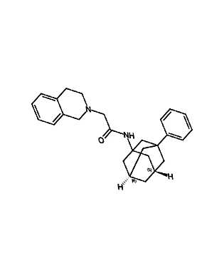 O=C(CN1CCc2ccccc2C1)NC12C[C@H]3C[C@@H](C1)CC(c1ccccc1)(C3)C2